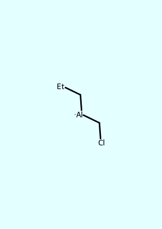 CC[CH2][Al][CH2]Cl